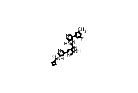 Cc1cc(F)cc(-c2cncc3[nH]c(-c4n[nH]c5cnc(-c6cncc(NC(=O)C7CCC7)c6)cc45)nc23)c1